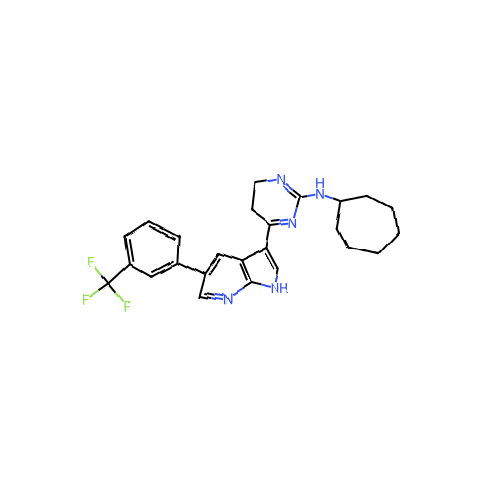 FC(F)(F)c1cccc(-c2cnc3[nH]cc(C4=NC(NC5CCCCCC5)=NCC4)c3c2)c1